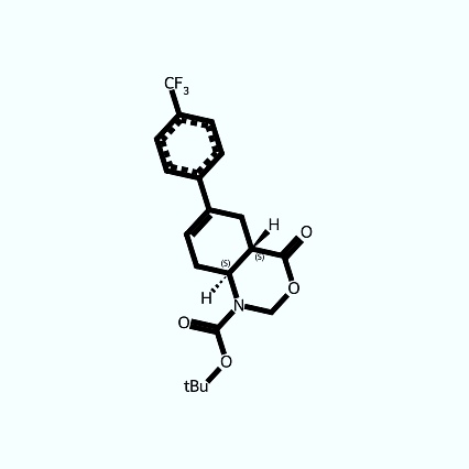 CC(C)(C)OC(=O)N1COC(=O)[C@H]2CC(c3ccc(C(F)(F)F)cc3)=CC[C@@H]21